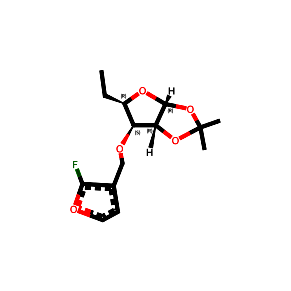 CC[C@H]1O[C@@H]2OC(C)(C)O[C@@H]2[C@H]1OCc1ccoc1F